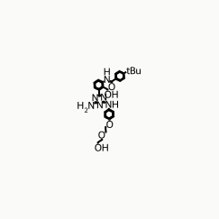 CC(C)(C)c1ccc(C(=O)Nc2cccc(-c3nc(N)nc(Nc4ccc(OCCOCCO)cc4)n3)c2CO)cc1